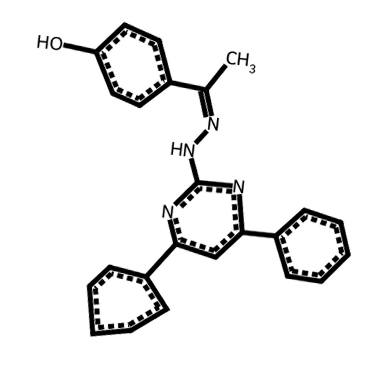 CC(=NNc1nc(-c2ccccc2)cc(-c2ccccc2)n1)c1ccc(O)cc1